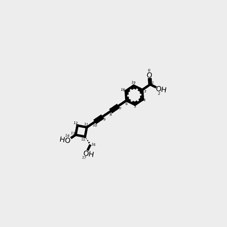 O=C(O)c1ccc(C#CC#CC2CC(O)[C@H]2CO)cc1